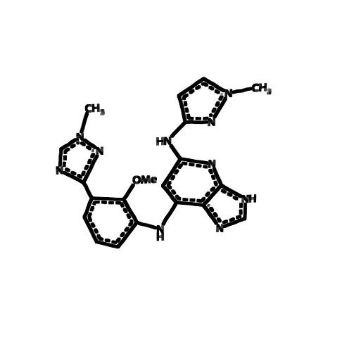 COc1c(Nc2cc(Nc3ccn(C)n3)nc3[nH]cnc23)cccc1-c1ncn(C)n1